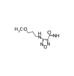 COCCCNc1nonc1C(=N)Cl